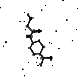 COCC(=O)NC1CCC(C(C)=O)CC1